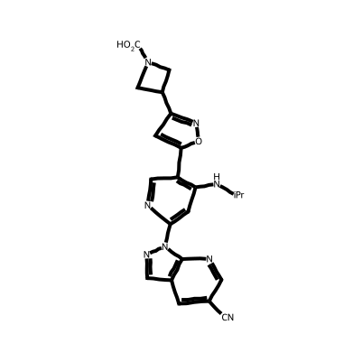 CC(C)Nc1cc(-n2ncc3cc(C#N)cnc32)ncc1-c1cc(C2CN(C(=O)O)C2)no1